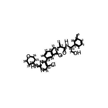 Cc1cccc([C@@H](CO)NC(=O)C(C)N2Cc3ccc(-c4nc(NC5CCOCC5)ncc4Cl)cc3C2=O)c1